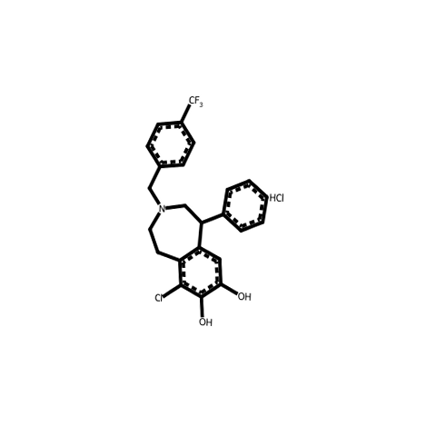 Cl.Oc1cc2c(c(Cl)c1O)CCN(Cc1ccc(C(F)(F)F)cc1)CC2c1ccccc1